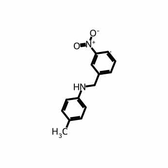 Cc1ccc(NCc2cc[c]c([N+](=O)[O-])c2)cc1